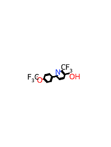 OCc1ccc(-c2ccc(OC(F)(F)F)cc2)nc1C(F)(F)F